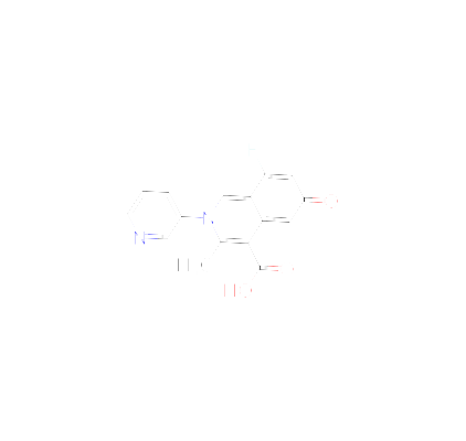 Cc1c(C(=O)O)c2cc(=O)cc(F)c-2cn1-c1cccnc1